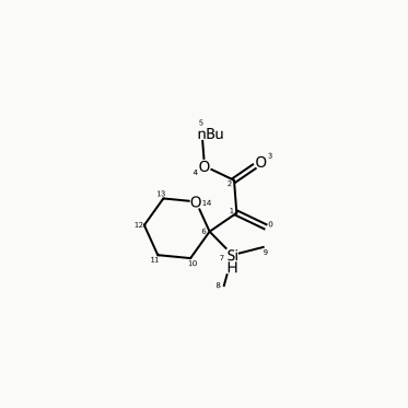 C=C(C(=O)OCCCC)C1([SiH](C)C)CCCCO1